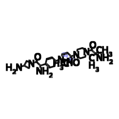 C/N=C(\C=C/N(C=O)c1ccc(C(N)C(=O)N2CC(N)C2)cc1)N1CCN(C(=O)C(C)(C)N)CC1